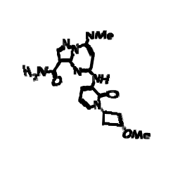 CNc1cc(Nc2cccn([C@H]3C[C@@H](OC)C3)c2=O)nc2c(C(N)=O)cnn12